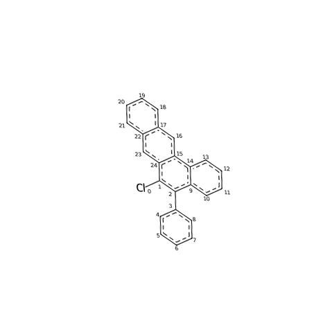 Clc1c(-c2ccccc2)c2ccccc2c2cc3ccccc3cc12